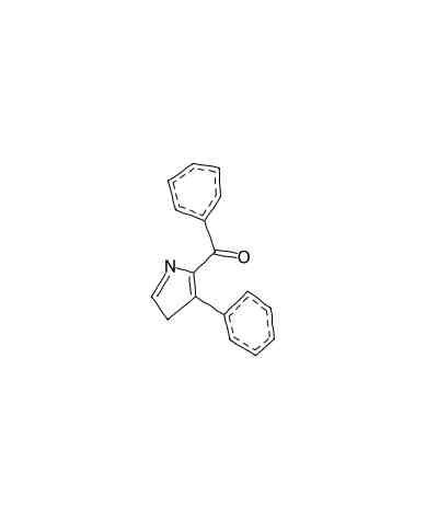 O=C(C1=C(c2ccccc2)CC=N1)c1ccccc1